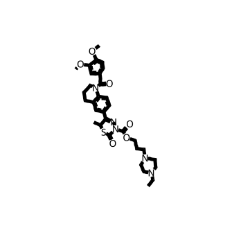 CCN1CCN(CCCOC(=O)N2N=C(c3ccc4c(c3)CCCN4C(=O)c3ccc(OC)c(OC)c3)C(C)SC2=O)CC1